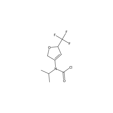 CC(C)N(C(=O)Cl)C1=CC(C(F)(F)F)OC1